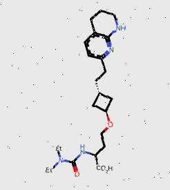 CCN(CC)C(=O)NC(CCO[C@H]1C[C@H](CCc2ccc3c(n2)NCCC3)C1)C(=O)O